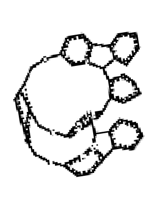 c1ccc2c(c1)-c1ccc3c[n+]1C2c1ccccc1-c1ccc2c[n+]1C1c4ccccc4-c4ccc(c[n+]41)CCc1cc(cc(c1)CC2)CC3